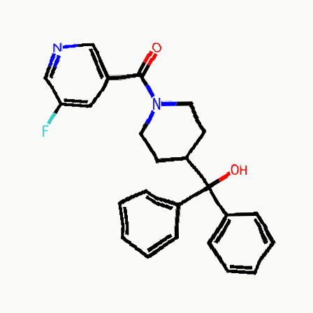 O=C(c1cncc(F)c1)N1CCC(C(O)(c2ccccc2)c2ccccc2)CC1